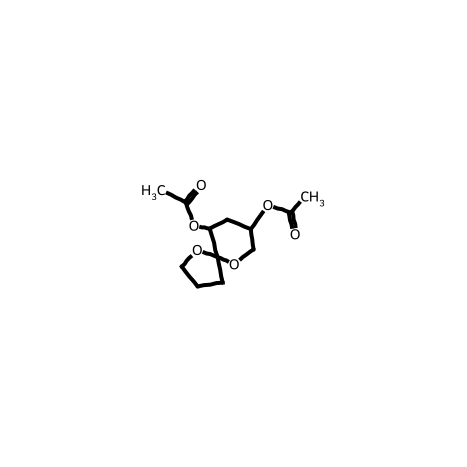 CC(=O)OC1COC2(CCCO2)C(OC(C)=O)C1